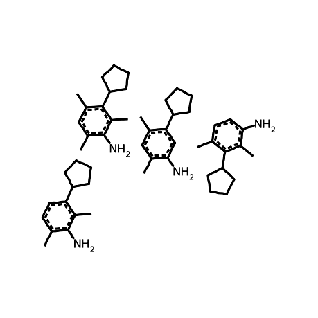 Cc1cc(C)c(C2CCCC2)c(C)c1N.Cc1cc(C)c(C2CCCC2)cc1N.Cc1ccc(C2CCCC2)c(C)c1N.Cc1ccc(N)c(C)c1C1CCCC1